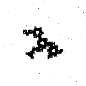 Nc1cccc(-c2nc(NCC3CC3)cc(Nc3cc(F)cc(F)c3)n2)n1